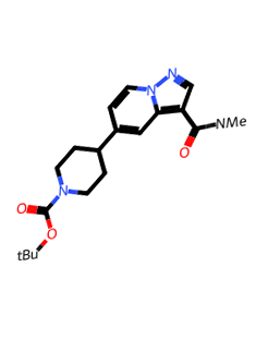 CNC(=O)c1cnn2ccc(C3CCN(C(=O)OC(C)(C)C)CC3)cc12